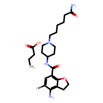 CCCC(=O)O.NC(=O)CCCCCN1CCC(NC(=O)c2cc(Cl)c(N)c3c2OCC3)CC1